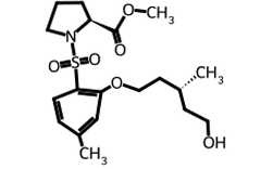 COC(=O)[C@@H]1CCCN1S(=O)(=O)c1ccc(C)cc1OCC[C@H](C)CCO